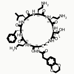 CC(C)C[C@@H]1NC(=O)[C@@H](Cc2ccccc2)NC(=O)[C@H](CCN)NC(=O)[C@@H](NC(=O)Cc2ccc3c(c2)OCCO3)CCNC(=O)[C@H]([C@@H](C)O)NC(=O)[C@H](CCN)NC(=O)[C@H](CCN)NC1=O